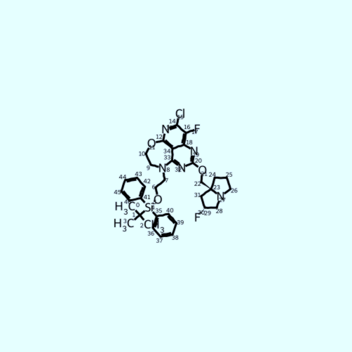 CC(C)(C)[Si](OCCN1CCOc2nc(Cl)c(F)c3nc(OC[C@@]45CCCN4C[C@H](F)C5)nc1c23)(c1ccccc1)c1ccccc1